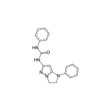 O=C(Nc1ccccc1)Nc1cc2n(n1)CCN2c1ccccc1